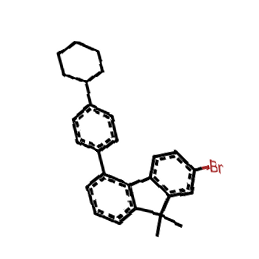 CC1(C)c2cc(Br)ccc2-c2c(-c3ccc(C4CCCCC4)cc3)cccc21